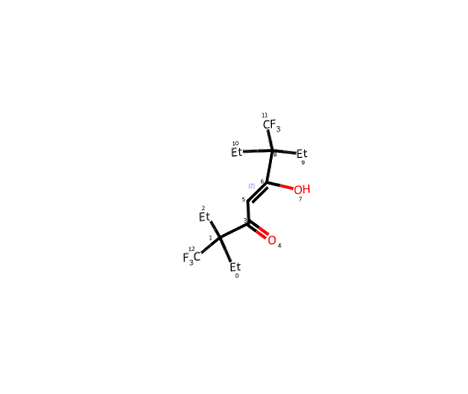 CCC(CC)(C(=O)/C=C(\O)C(CC)(CC)C(F)(F)F)C(F)(F)F